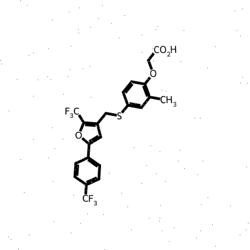 Cc1cc(SCc2cc(-c3ccc(C(F)(F)F)cc3)oc2C(F)(F)F)ccc1OCC(=O)O